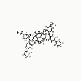 Cc1ccc(N(c2ccc(-c3ccccc3)cc2)c2c(C)c(C)c(-c3c(C)c(C)c(N(c4ccc(C)cc4)c4ccc(-c5ccccc5)cc4)c(C)c3C)c(C)c2C)cc1